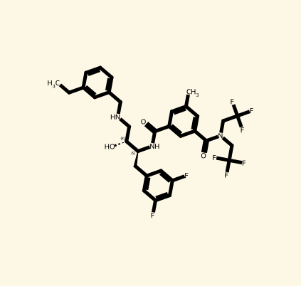 CCc1cccc(CNC[C@@H](O)[C@H](Cc2cc(F)cc(F)c2)NC(=O)c2cc(C)cc(C(=O)N(CC(F)(F)F)CC(F)(F)F)c2)c1